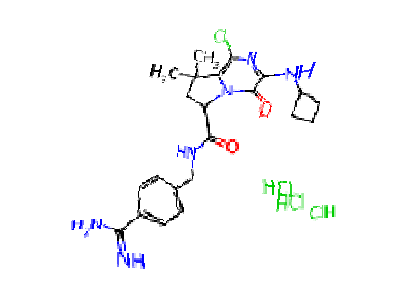 CC1(C)CC(C(=O)NCc2ccc(C(=N)N)cc2)n2c1c(Cl)nc(NC1CCC1)c2=O.Cl.Cl.Cl